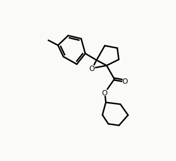 Cc1ccc(C23CCCC2(C(=O)OC2CCCCC2)O3)cc1